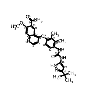 COc1cc2nccc(Oc3ccc(NC(=O)Nc4cc(C(C)(C)C)n[nH]4)c(C)c3C)c2cc1C(N)=O